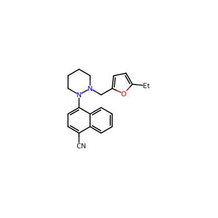 CCc1ccc(CN2CCCCN2c2ccc(C#N)c3ccccc23)o1